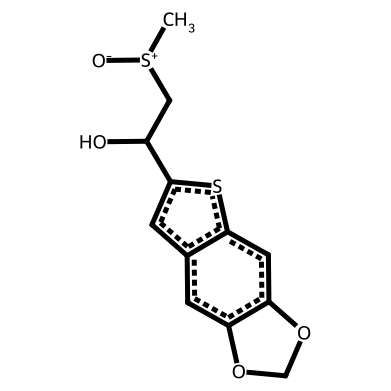 C[S+]([O-])CC(O)c1cc2cc3c(cc2s1)OCO3